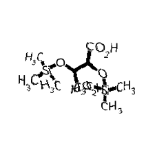 C[Si](C)(C)OC(C(=O)O)C(O[Si](C)(C)C)C(=O)O